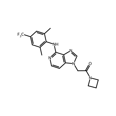 Cc1cc(C(F)(F)F)cc(C)c1Nc1nccc2c1ncn2CC(=O)N1CCC1